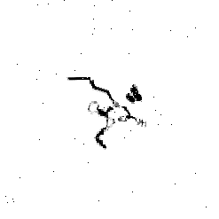 C#C.C#C.CCCCN(CC(=O)O)C(=O)OCC